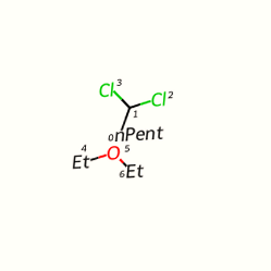 CCCCCC(Cl)Cl.CCOCC